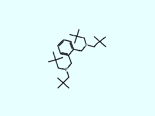 CC(C)(C)CP(Cc1ccccc1CP(CC(C)(C)C)CC(C)(C)C)CC(C)(C)C